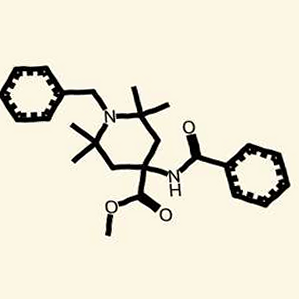 COC(=O)C1(NC(=O)c2ccccc2)CC(C)(C)N(Cc2ccccc2)C(C)(C)C1